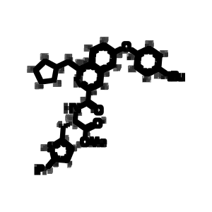 COC(=O)[C@H](Cc1ccc(C(C)C)s1)NC(=O)c1cc2cc(Oc3ccc(C(C)(C)C)cc3)ccc2c(CC2CCCC2)n1